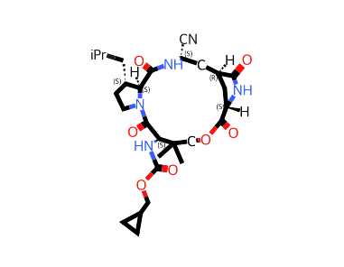 CC(C)C[C@H]1CCN2C(=O)[C@@H](NC(=O)OCC3CC3)C(C)(C)COC(=O)[C@@H]3C[C@@H](C[C@@H](C#N)NC(=O)[C@H]12)C(=O)N3